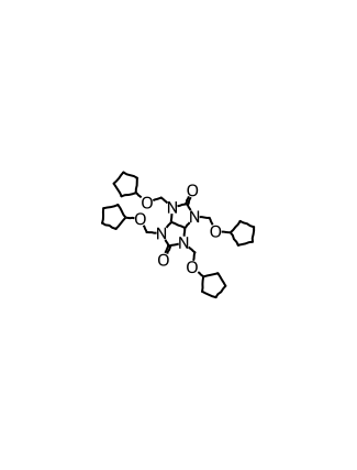 O=C1N(COC2CCCC2)C2C(N1COC1CCCC1)N(COC1CCCC1)C(=O)N2COC1CCCC1